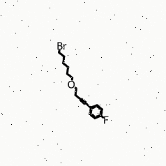 Fc1ccc(C#CCCOCCCCCCBr)cc1